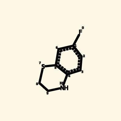 Fc1ccc2c(c1)SCCN2